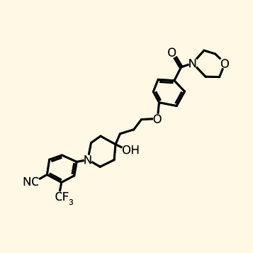 N#Cc1ccc(N2CCC(O)(CCCOc3ccc(C(=O)N4CCOCC4)cc3)CC2)cc1C(F)(F)F